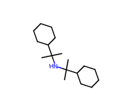 CC(C)(NC(C)(C)C1CCCCC1)C1CCCCC1